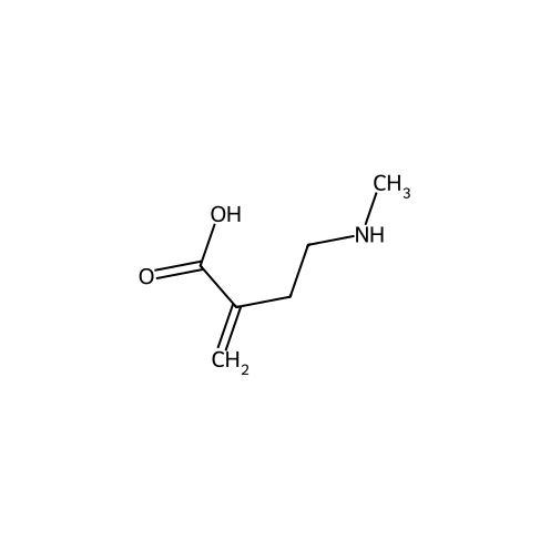 C=C(CCNC)C(=O)O